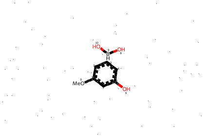 COc1cccc(O)c1.OBO